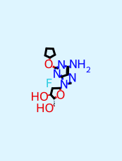 Nc1nc(OC2CCCC2)nc2c1ncn2[C@@H]1O[C@H](CO)[C@@H](O)[C@H]1F